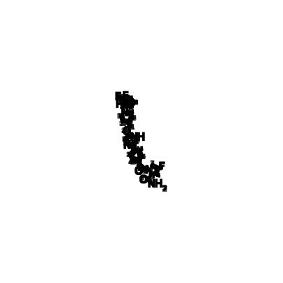 NC(=O)[C@@H]1C[C@H](F)CN1C1OC1c1ccc(C2=CNC(OCC3CCN(CC4(C(F)(F)F)CCC4)CC3)C=N2)cc1